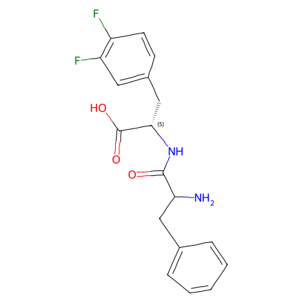 NC(Cc1ccccc1)C(=O)N[C@@H](Cc1ccc(F)c(F)c1)C(=O)O